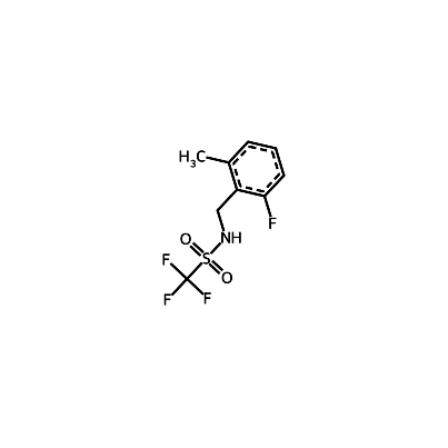 Cc1cccc(F)c1CNS(=O)(=O)C(F)(F)F